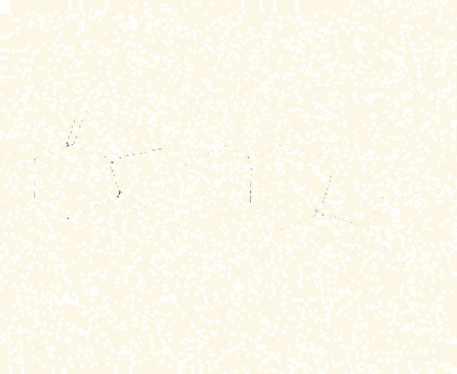 O=C1CCCC(=O)N1CCCN1CCN(S(=O)(=S)C(F)(F)F)CC1